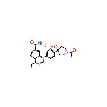 CCc1ncc(-c2ccc(C3(O)CCN(C(C)=O)CC3)cc2)c2cc(C(N)=O)ccc12